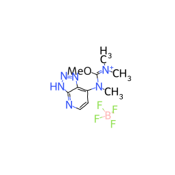 COC(N(C)c1ccnc2[nH]nnc12)=[N+](C)C.F[B-](F)(F)F